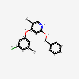 CCCc1cnc(OCc2ccccc2)cc1Oc1cc(Cl)cc(C#N)c1